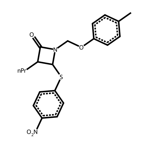 CCCC1C(=O)N(COc2ccc(C)cc2)C1Sc1ccc([N+](=O)[O-])cc1